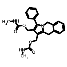 CNC(=O)OCc1c(COC(=O)NC)c(-c2ccccc2)n2c1Cc1ccccc1C2